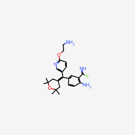 CC1(C)CC(=C(c2ccc(OCCN)nc2)c2ccc(N)c(C(=N)F)c2)CC(C)(C)O1